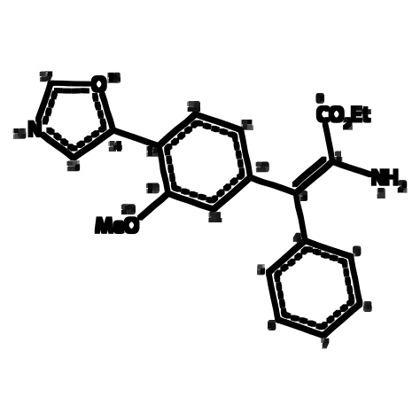 CCOC(=O)C(N)=C(c1ccccc1)c1ccc(-c2cnco2)c(OC)c1